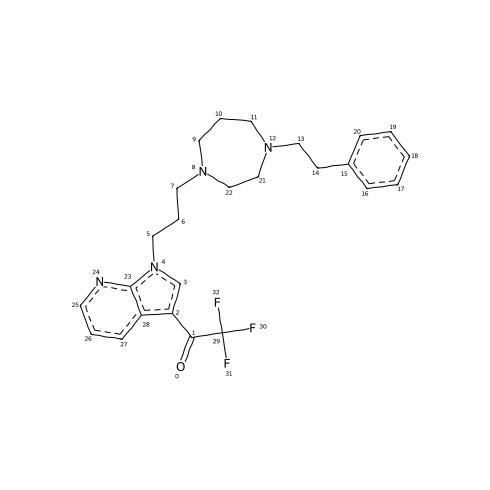 O=C(c1cn(CCCN2CCCN(CCc3ccccc3)CC2)c2ncccc12)C(F)(F)F